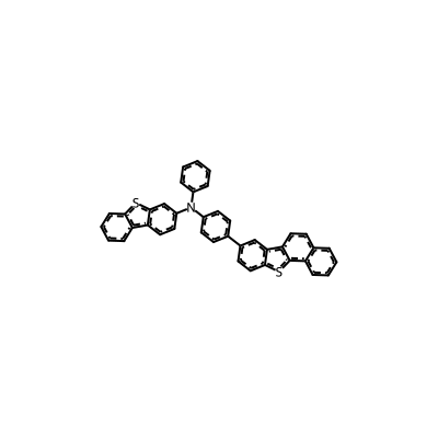 c1ccc(N(c2ccc(-c3ccc4sc5c6ccccc6ccc5c4c3)cc2)c2ccc3c(c2)sc2ccccc23)cc1